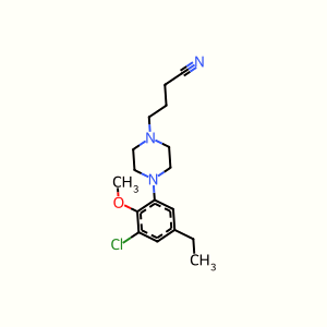 CCc1cc(Cl)c(OC)c(N2CCN(CCCC#N)CC2)c1